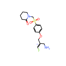 NC/C(=C\F)COc1ccc(S(=O)(=O)CN2CCCCC2=O)cc1